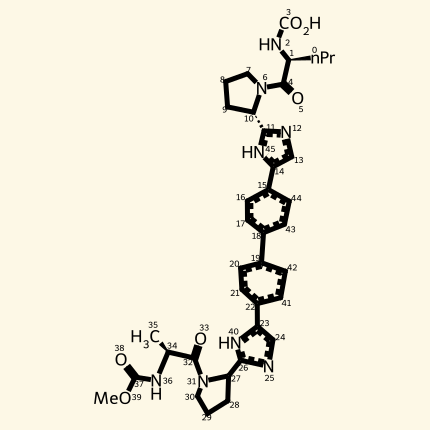 CCC[C@H](NC(=O)O)C(=O)N1CCC[C@H]1c1ncc(-c2ccc(-c3ccc(-c4cnc(C5CCCN5C(=O)[C@H](C)NC(=O)OC)[nH]4)cc3)cc2)[nH]1